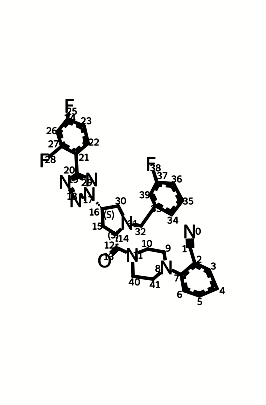 N#Cc1ccccc1N1CCN(C(=O)[C@@H]2C[C@H](n3nnc(-c4ccc(F)cc4F)n3)CN2Cc2cccc(F)c2)CC1